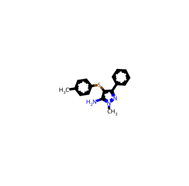 Cc1ccc(Sc2c(-c3ccccc3)nn(C)c2N)cc1